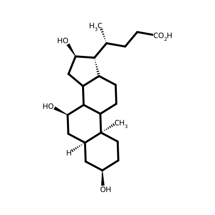 C[C@H](CCC(=O)O)[C@@H]1C2CCC3C(C2C[C@H]1O)[C@H](O)C[C@@H]1C[C@H](O)CC[C@]31C